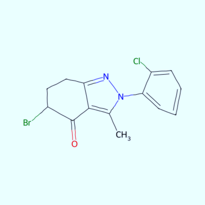 Cc1c2c(nn1-c1ccccc1Cl)CCC(Br)C2=O